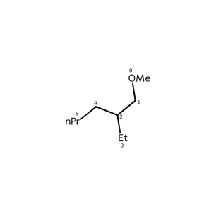 [CH]OCC(CC)CCCC